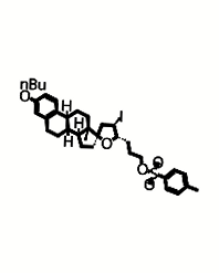 CCCCOc1ccc2c(c1)CC[C@@H]1[C@@H]2CC[C@@]2(C)[C@H]1CC[C@@]21C[C@@H](I)[C@H](CCCOS(=O)(=O)c2ccc(C)cc2)O1